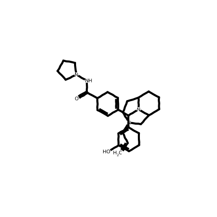 C=CCN1CCC2CCCC(C1)N2C(C1=CCC(C(=O)NN2CCCC2)C=C1)C1=CC(O)=CCC1